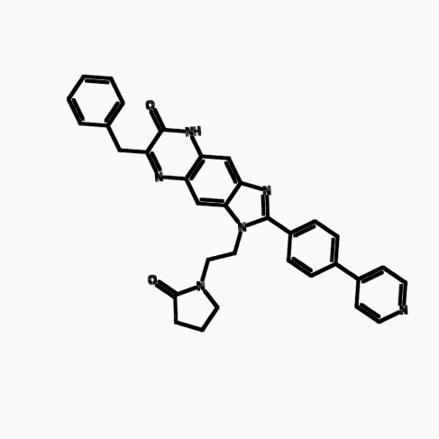 O=C1CCCN1CCn1c(-c2ccc(-c3ccncc3)cc2)nc2cc3[nH]c(=O)c(Cc4ccccc4)nc3cc21